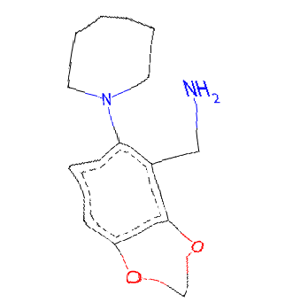 NCc1c(N2CCCCC2)ccc2c1OCO2